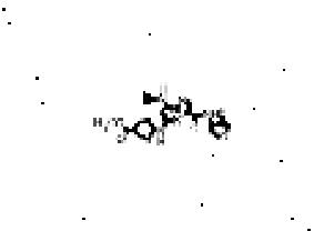 COC(=O)[C@H]1CC[C@H](Nc2cc(NC3CC3)c3ncc(C(=O)Nc4ccncc4F)n3n2)CC1